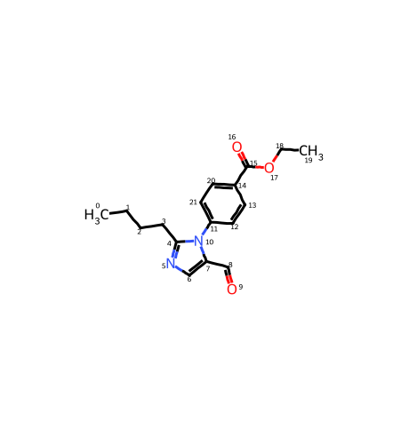 CCCCc1ncc(C=O)n1-c1ccc(C(=O)OCC)cc1